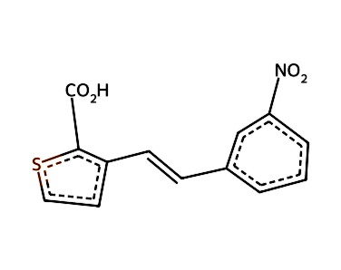 O=C(O)c1sccc1/C=C/c1cccc([N+](=O)[O-])c1